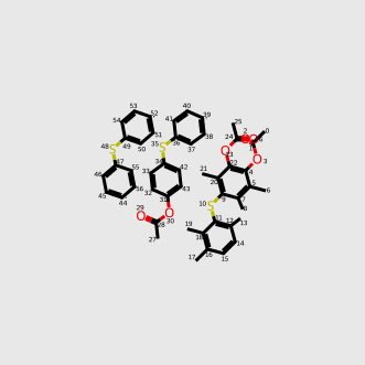 CC(=O)Oc1c(C)c(C)c(Sc2c(C)ccc(C)c2C)c(C)c1OC(C)=O.CC(=O)Oc1ccc(Sc2cc[c]cc2)cc1.[c]1ccc(Sc2cc[c]cc2)cc1